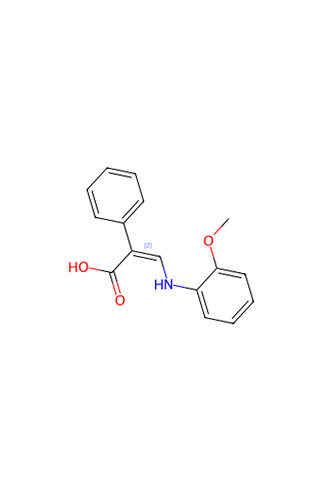 COc1ccccc1N/C=C(\C(=O)O)c1ccccc1